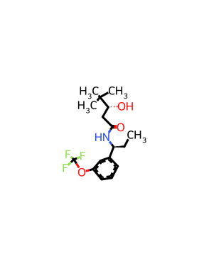 CC[C@H](NC(=O)C[C@@H](O)C(C)(C)C)c1cccc(OC(F)(F)F)c1